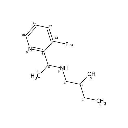 CCC(O)CNC(C)c1ncccc1F